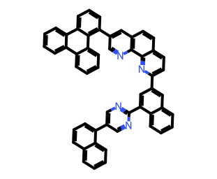 c1ccc2c(-c3cnc(-c4cc(-c5ccc6ccc7cc(-c8cccc9c%10ccccc%10c%10ccccc%10c89)cnc7c6n5)cc5ccccc45)nc3)cccc2c1